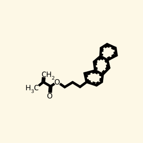 C=C(C)C(=O)OCCCc1ccc2cc3ccccc3cc2c1